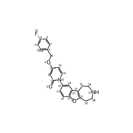 O=c1cc(OCc2ccc(F)cn2)ccn1-c1ccc2oc3c(c2c1)CCNCC3